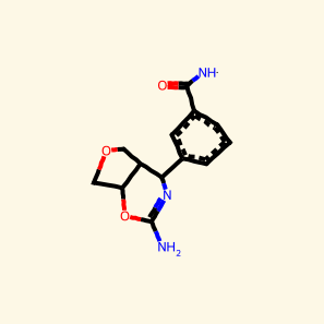 [NH]C(=O)c1cccc(C2N=C(N)OC3COCC32)c1